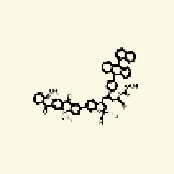 CSC(=S)SC(C#N)CC(CC(CC(C)(C)C#N)c1ccc(-c2ccc3c(c2)c(=O)c2cc4c(cc2n3C)c(=O)c2ccccc2n4C)cc1)c1ccc(-c2c3ccccc3c(-c3cccc4ccccc34)c3ccccc23)cc1